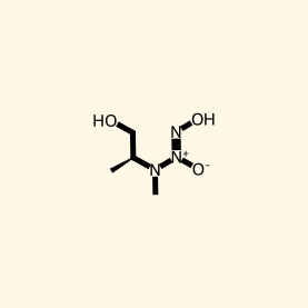 C[C@@H](CO)N(C)/[N+]([O-])=N/O